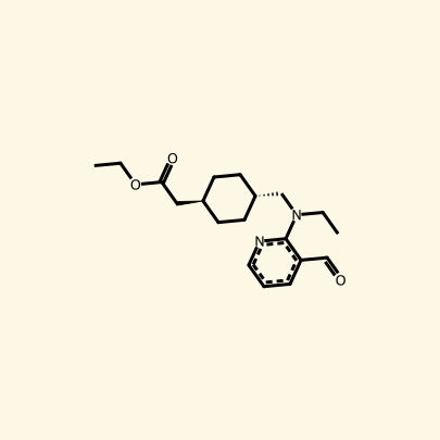 CCOC(=O)C[C@H]1CC[C@H](CN(CC)c2ncccc2C=O)CC1